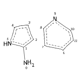 Nc1ccc[nH]1.c1ccncc1